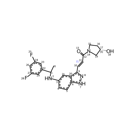 CC(Nc1ccc2[nH]nc(/C=C/C(=O)N3CC[C@H](O)C3)c2c1)c1cc(F)cc(F)c1